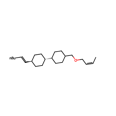 C/C=C\COCC1CCC([C@H]2CC[C@H](/C=C/CCCC)CC2)CC1